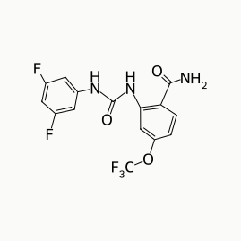 NC(=O)c1ccc(OC(F)(F)F)cc1NC(=O)Nc1cc(F)cc(F)c1